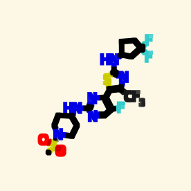 CS(=O)(=O)N1CCC(Nc2ncc(F)c(-c3sc(NC4CCC(F)(F)C4)nc3C(F)(F)F)n2)CC1